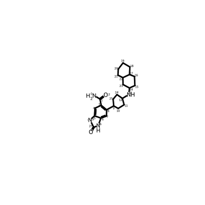 NC(=O)c1cc2c(cc1C1CCC(NC3CCC4CCCCC4C3)CC1)NC(=O)[N]2